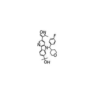 Cc1nocc1-c1cnc2c3ccc(C(C)(C)O)cc3n(C(c3ccc(F)cc3)C3CCOCC3)c2c1